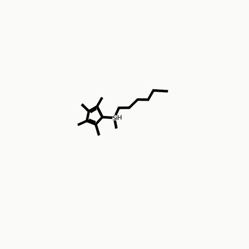 CCCCCC[SiH](C)C1C(C)=C(C)C(C)=C1C